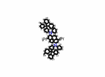 Cc1cccc(C2(c3cccc(N(c4ccccc4)c4cc(C(C)C)c5ccc6c(N(c7ccccc7)c7cccc(C8(c9cccc(C)c9)c9ccccc9-c9ccccc98)c7)cc(C(C)C)c7ccc4c5c76)c3)c3ccccc3-c3ccccc32)c1